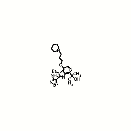 CCn1c(-c2nonc2N)nc2c(C(C)(C)O)ncc(OCCCN3CCCCC3)c21